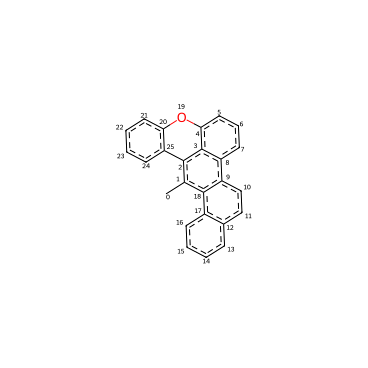 Cc1c2c3c(cccc3c3ccc4ccccc4c13)Oc1ccccc1-2